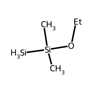 CCO[Si](C)(C)[SiH3]